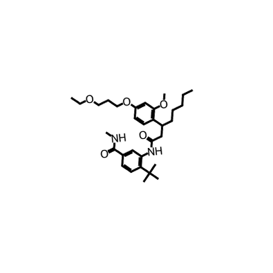 CCCCCC(CC(=O)Nc1cc(C(=O)NC)ccc1C(C)(C)C)c1ccc(OCCCOCC)cc1OC